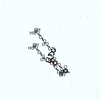 Cc1cc(Cl)c(OCCOc2ccc(C3=C(C(=O)N(Cc4ccnc(OCCOC(=O)OCCOCCON(O)O)c4C)C4CC4)C4CN(C(=O)OCCOCCON(O)O)CC(C3)N4C(=O)OCCOCCON(O)O)cc2)c(Cl)c1